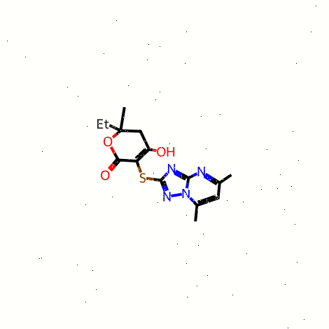 CCC1(C)CC(O)=C(Sc2nc3nc(C)cc(C)n3n2)C(=O)O1